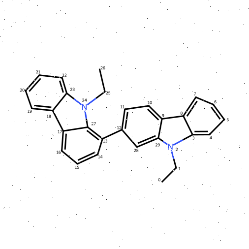 CCn1c2ccccc2c2ccc(-c3cccc4c5ccccc5n(CC)c34)cc21